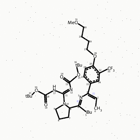 C/C=C(\N=C(/C(C)CC)C1CCCN1C(=NC(=O)OC(C)(C)C)NC(=O)OC(C)(C)C)c1ccc(OCCCCOC)c(C(F)(F)F)c1